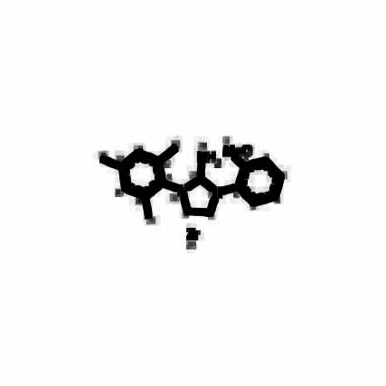 COc1ccccc1N1CCN(c2c(C)cc(C)cc2C)C1N.[Zr]